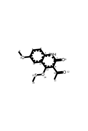 COc1ccc2[nH]c(=O)c(C(C)=O)c(OSC)c2c1